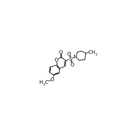 COc1ccc2oc(=O)c(S(=O)(=O)N3CCC(C)CC3)cc2c1